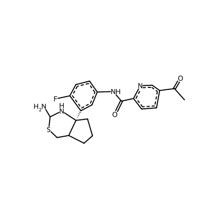 CC(=O)c1ccc(C(=O)Nc2ccc(F)c([C@]34CCCC3CSC(N)N4)c2)nc1